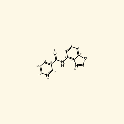 O=C(Nc1cccc2scnc12)c1cccnc1